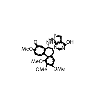 COc1cc2c(c(OC)c1OC)-c1ccc(OC)c(=O)cc1[C@@H](NC(C)=O)CC2.Oc1ncnc2[nH]ncc12